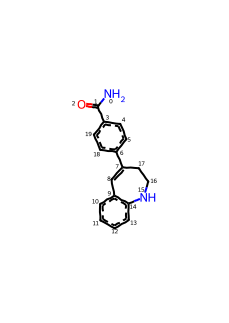 NC(=O)c1ccc(C2=Cc3ccccc3NCC2)cc1